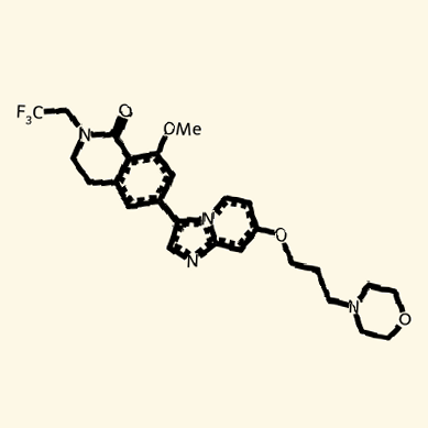 COc1cc(-c2cnc3cc(OCCCN4CCOCC4)ccn23)cc2c1C(=O)N(CC(F)(F)F)CC2